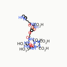 Cc1cc(OCCCC(=O)NCCNC(=O)C(CS(=O)(=O)O)NC(=O)[C@H](CS(=O)(=O)O)NC(=O)CN2CCN(CC(=O)O)CCN(CC(=O)O)CCN(CC(=O)O)CC2)cc(C)c1S(=O)(=O)NC(CNC(=O)CCCCc1ccc2c(n1)NCCC2)C(=O)O